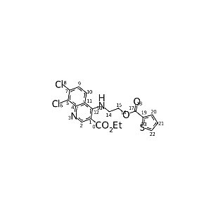 CCOC(=O)c1cnc2c(Cl)c(Cl)ccc2c1NCCOC(=O)c1cccs1